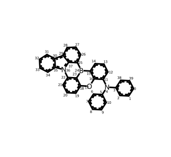 c1ccc(N(c2ccccc2)c2cccc3c2Oc2cccc4c2B3c2cccc3c5ccccc5n-4c23)cc1